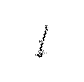 [N-]=[N+]=NCCCCCCNCCCCC(=O)ON1C(=O)CCC1O